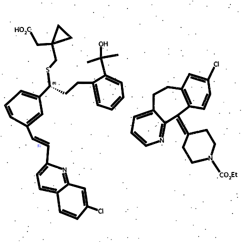 CC(C)(O)c1ccccc1CC[C@@H](SCC1(CC(=O)O)CC1)c1cccc(/C=C/c2ccc3ccc(Cl)cc3n2)c1.CCOC(=O)N1CCC(=C2c3ccc(Cl)cc3CCc3cccnc32)CC1